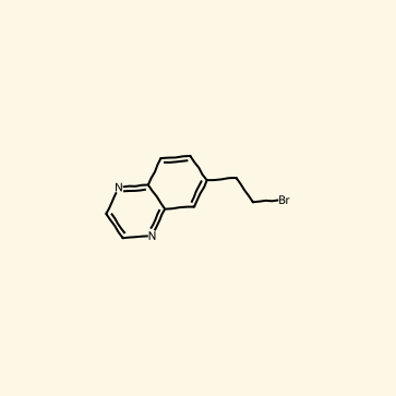 BrCCc1ccc2nccnc2c1